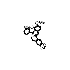 COc1ccc2cc3[n+](c(-c4ccccc4)c2c1OC)CCc1cc2c(cc1-3)OCO2